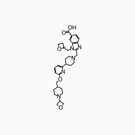 O=C(O)c1ccc2nc(CN3CCC(c4cccc(OCC5CCN(C6COC6)CC5)n4)CC3)n(C[C@@H]3CCO3)c2c1